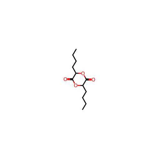 CCCCC1OC(=O)C(CCCC)OC1=O